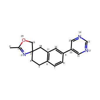 CC1=NC2(CCc3ccc(-c4cncnc4)cc3C2)CO1